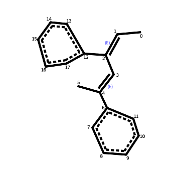 C/C=C(\C=C(/C)c1ccccc1)c1ccccc1